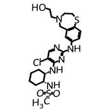 CS(=O)(=O)N[C@@H]1CCCC[C@H]1Nc1nc(Nc2ccc3c(c2)CN(CCO)CCS3)ncc1Cl